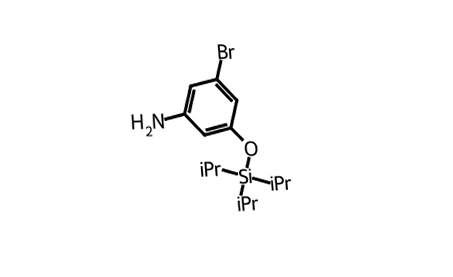 CC(C)[Si](Oc1cc(N)cc(Br)c1)(C(C)C)C(C)C